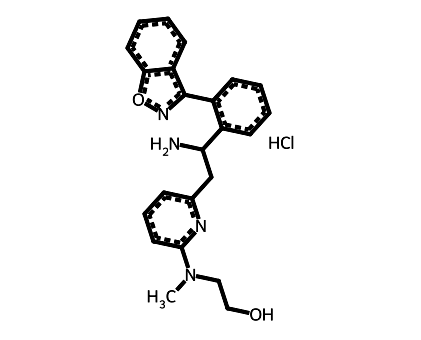 CN(CCO)c1cccc(CC(N)c2ccccc2-c2noc3ccccc23)n1.Cl